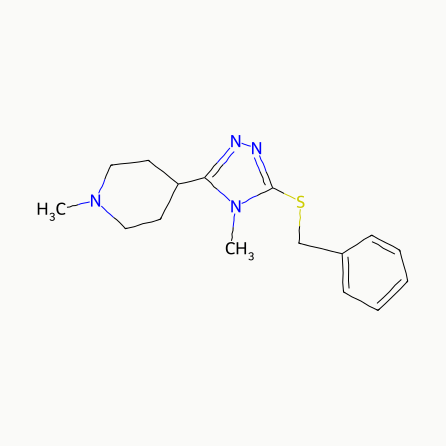 CN1CCC(c2nnc(SCc3ccccc3)n2C)CC1